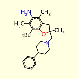 Cc1c(N)c(C)c(C(C)(C)C)c2c1CC(C)(CN1CCC(c3ccccc3)CC1)O2